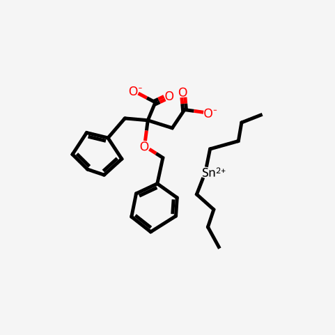 CCC[CH2][Sn+2][CH2]CCC.O=C([O-])CC(Cc1ccccc1)(OCc1ccccc1)C(=O)[O-]